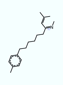 C/N=C(\C=C(C)C)CCCCCCc1ccc(C)cc1